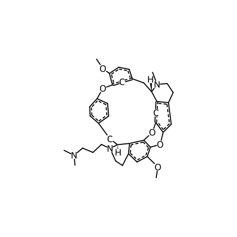 COc1ccc2cc1Oc1ccc(cc1)C[C@H]1c3c(cc(OC)c4c3Oc3cc5c(cc3O4)CCN(C)[C@H]5C2)CCN1CCCN(C)C